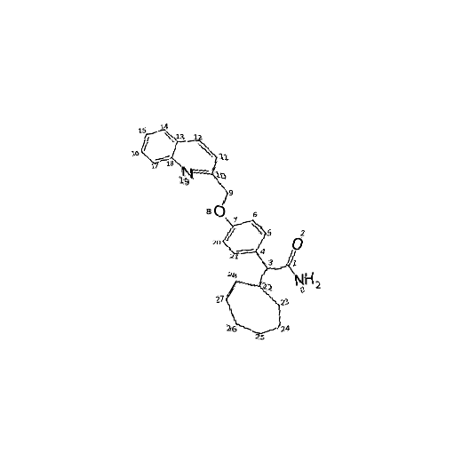 NC(=O)C(c1ccc(OCc2ccc3ccccc3n2)cc1)C1CCCCCC1